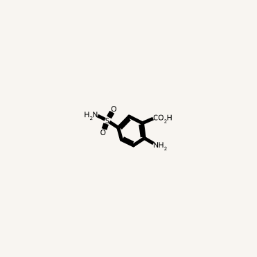 Nc1ccc(S(N)(=O)=O)cc1C(=O)O